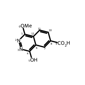 COc1nnc(O)c2cc(C(=O)O)ccc12